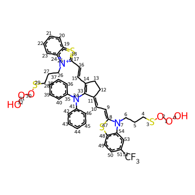 OOOSCCCN1/C(=C/C=C2\CCC(/C=C/c3sc4ccccc4[n+]3CCCSOOO)=C2N(c2ccccc2)c2ccccc2)Sc2ccc(C(F)(F)F)cc21